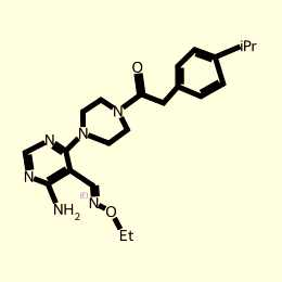 CCO/N=C/c1c(N)ncnc1N1CCN(C(=O)Cc2ccc(C(C)C)cc2)CC1